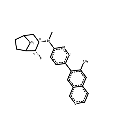 CN(c1ccc(-c2cc3cnccc3cc2O)nn1)[C@H]1CC2CCC(N2)[C@H]1F